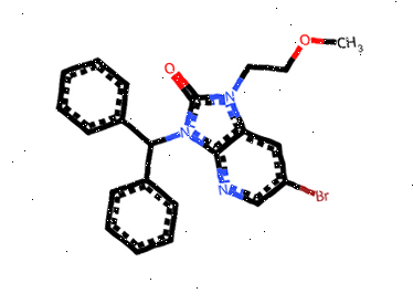 COCCn1c(=O)n(C(c2ccccc2)c2ccccc2)c2ncc(Br)cc21